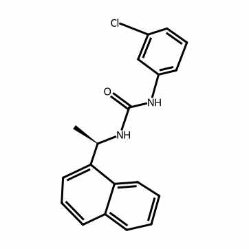 C[C@@H](NC(=O)Nc1cccc(Cl)c1)c1cccc2ccccc12